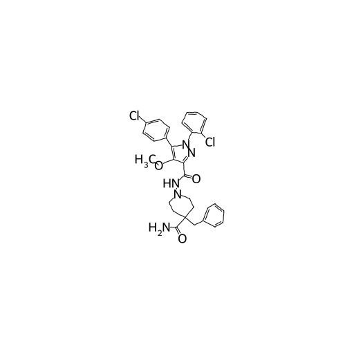 COc1c(C(=O)NN2CCC(Cc3ccccc3)(C(N)=O)CC2)nn(-c2ccccc2Cl)c1-c1ccc(Cl)cc1